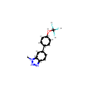 Cn1nnc2ccc(-c3ccc(OC(F)(F)F)cc3)cc21